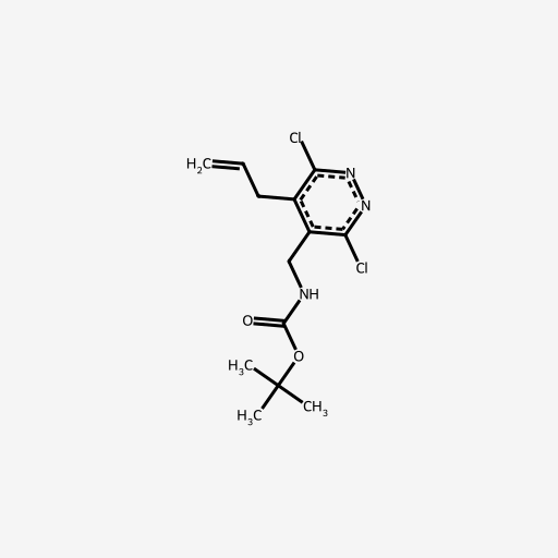 C=CCc1c(Cl)nnc(Cl)c1CNC(=O)OC(C)(C)C